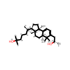 CC[C@H](O)CC1=CC=C2[C@H](CC[C@]3(C)[C@@H]([C@H](C)CCCC(C)(C)O)CC[C@@H]23)C1(C)C